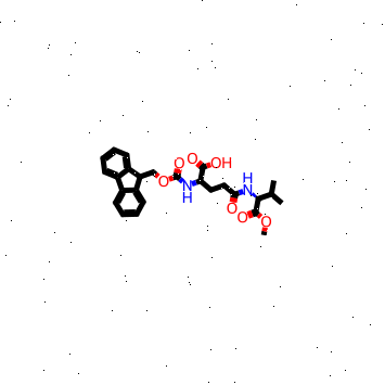 COC(=O)[C@@H](NC(=O)CCC(NC(=O)OCC1c2ccccc2-c2ccccc21)C(=O)O)C(C)C